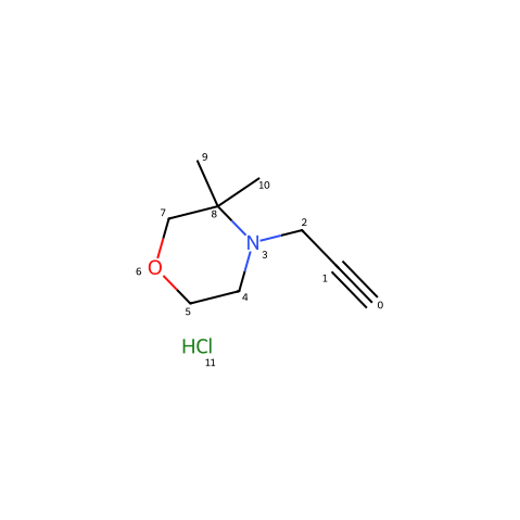 C#CCN1CCOCC1(C)C.Cl